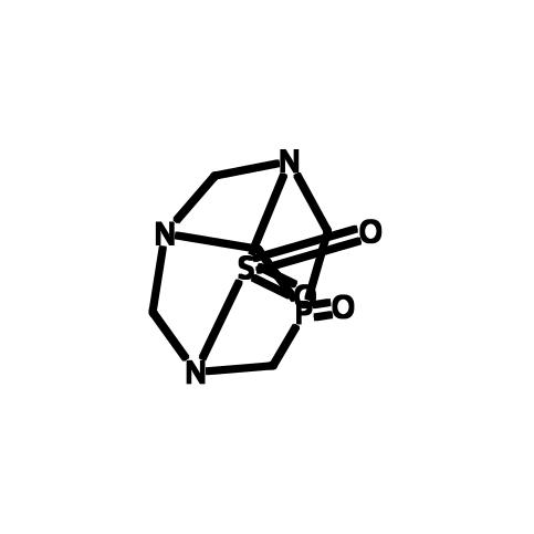 O=P12CN3CN(C1)S(=O)(=O)N(C3)C2